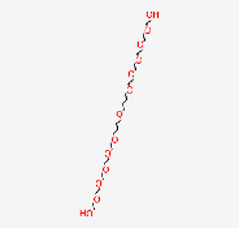 OCCOCCOCCOCCOCCOCCCCOCCCCOCCOCCOCCOCCOCCO